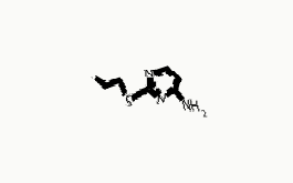 [CH2]CCSc1nccc(N)n1